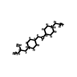 CCCC(CC)CN1CCC(COC2CCN(CC(C)C)CC2)CC1